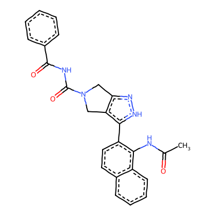 CC(=O)Nc1c(-c2[nH]nc3c2CN(C(=O)NC(=O)c2ccccc2)C3)ccc2ccccc12